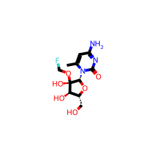 Cc1cc(N)nc(=O)n1[C@@H]1O[C@H](CO)[C@@H](O)[C@]1(O)OCF